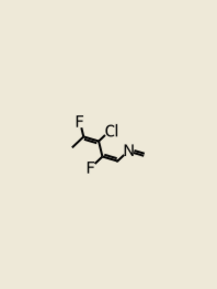 C=N/C=C(F)\C(Cl)=C(/C)F